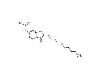 CCCCCCCCCCC1Cc2cc(OC(=O)O)ccc2N1